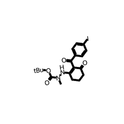 CN(NC1=C(C(=O)c2ccc(I)cc2)C(=O)CCC1)C(=O)OC(C)(C)C